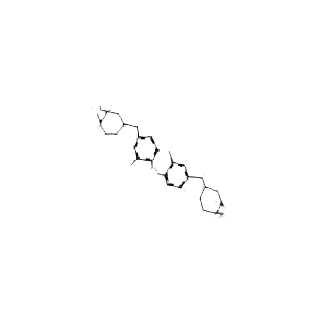 Cc1cc(CC2CCC3OC3C2)ccc1Oc1ccc(CC2CCC3OC3C2)cc1C